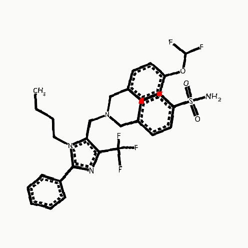 CCCCn1c(-c2ccccc2)nc(C(F)(F)F)c1CN(Cc1ccc(OC(F)F)cc1)Cc1ccc(S(N)(=O)=O)cc1